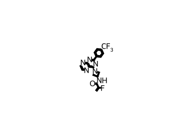 C=C(F)C(=O)NC1CN(c2nc(-c3ccc(C(F)(F)F)cc3)nc3nccnc23)C1